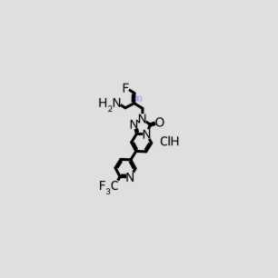 Cl.NC/C(=C\F)Cn1nc2cc(-c3ccc(C(F)(F)F)nc3)ccn2c1=O